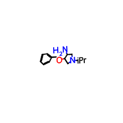 CC(C)N1CC(N)C(OCc2ccccc2)C1